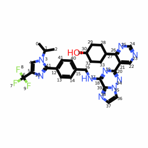 CC(C)n1cc(C(F)(F)F)nc1-c1ccc(CNc2nc(-c3cncnc3C3CCC(O)CC3)nn3ccnc23)cc1